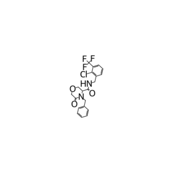 O=C(NCc1cccc(C(F)(F)F)c1Cl)C1COCC(=O)N1Cc1ccccc1